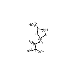 CCCC(CCC)C(=O)O[C@H]1CNC(C(=O)O)C1